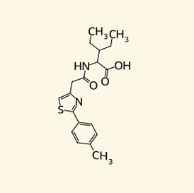 CCC(CC)C(NC(=O)Cc1csc(-c2ccc(C)cc2)n1)C(=O)O